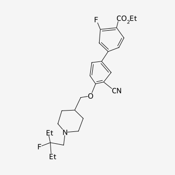 CCOC(=O)c1ccc(-c2ccc(OCC3CCN(CC(F)(CC)CC)CC3)c(C#N)c2)cc1F